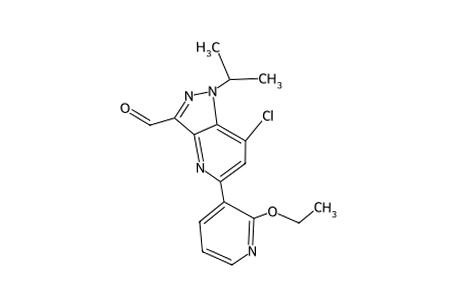 CCOc1ncccc1-c1cc(Cl)c2c(n1)c(C=O)nn2C(C)C